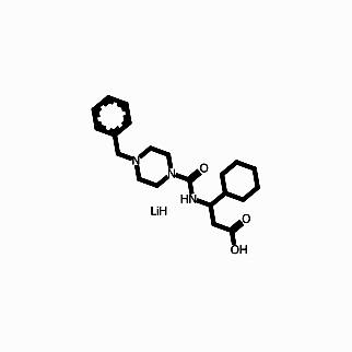 O=C(O)CC(NC(=O)N1CCN(Cc2ccccc2)CC1)C1CCCCC1.[LiH]